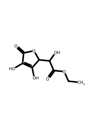 CCOC(=O)C(O)C1OC(=O)C(O)=C1O